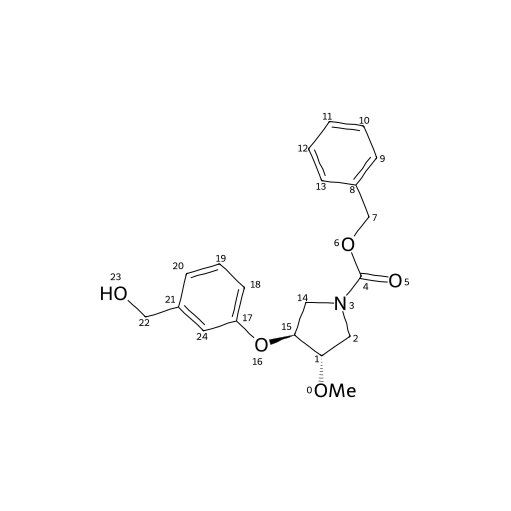 CO[C@H]1CN(C(=O)OCc2ccccc2)C[C@@H]1Oc1cccc(CO)c1